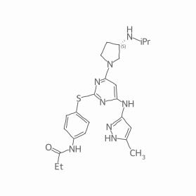 CCC(=O)Nc1ccc(Sc2nc(Nc3cc(C)[nH]n3)cc(N3CC[C@H](NC(C)C)C3)n2)cc1